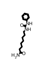 NC(=O)CCCCCCCNC(=O)Nc1ccccc1